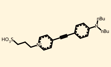 CCCCN(CCCC)c1ccc(C#Cc2cc[n+](CCCS(=O)(=O)O)cc2)cc1